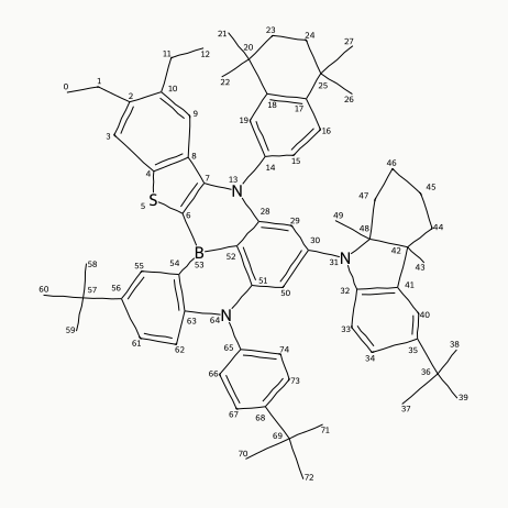 CCc1cc2sc3c(c2cc1CC)N(c1ccc2c(c1)C(C)(C)CCC2(C)C)c1cc(N2c4ccc(C(C)(C)C)cc4C4(C)CCCCC24C)cc2c1B3c1cc(C(C)(C)C)ccc1N2c1ccc(C(C)(C)C)cc1